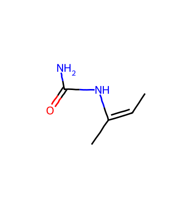 CC=C(C)NC(N)=O